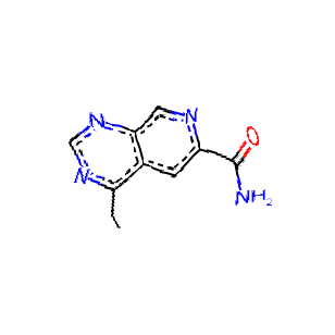 Cc1ncnc2cnc(C(N)=O)cc12